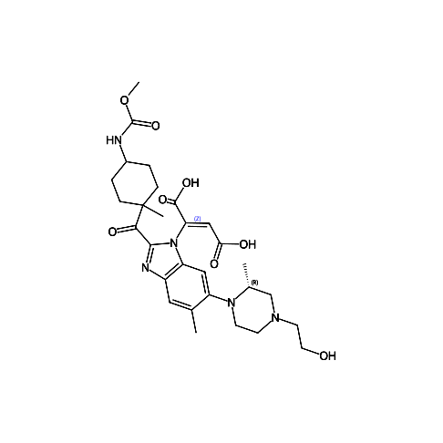 COC(=O)NC1CCC(C)(C(=O)c2nc3cc(C)c(N4CCN(CCO)C[C@H]4C)cc3n2/C(=C\C(=O)O)C(=O)O)CC1